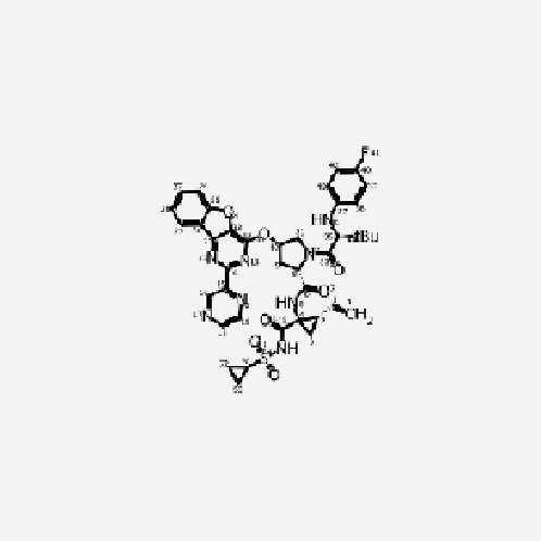 C=C[C@@H]1C[C@]1(NC(=O)[C@@H]1C[C@@H](Oc2nc(-c3cnccn3)nc3c2oc2ccccc23)CN1C(=O)[C@@H](Nc1ccc(F)cc1)C(C)(C)C)C(=O)NS(=O)(=O)C1CC1